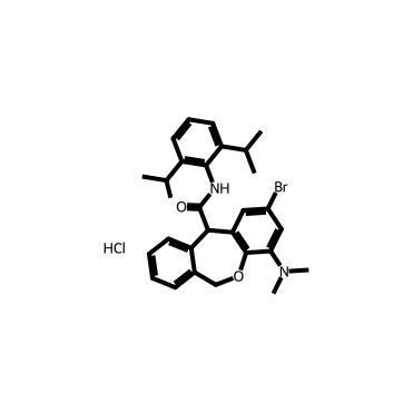 CC(C)c1cccc(C(C)C)c1NC(=O)C1c2ccccc2COc2c1cc(Br)cc2N(C)C.Cl